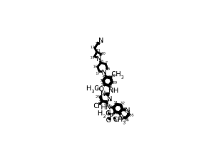 COc1cc(N2CCC(N3CC(CC#N)C3)CC2)c(C)cc1Nc1ncc(Cl)c(Nc2ccc3nccnc3c2P(C)(C)=O)n1